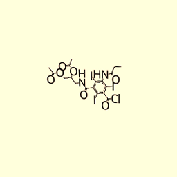 CCC(=O)Nc1c(I)c(C(=O)Cl)c(I)c(C(=O)NCC(COC(C)=O)OC(C)=O)c1I